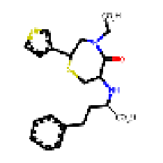 CCOC(=O)[C@H](CCc1ccccc1)NC1CSC(c2ccsc2)CN(CC(=O)O)C1=O